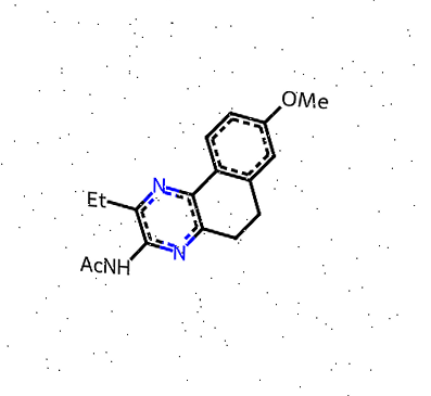 CCc1nc2c(nc1NC(C)=O)CCc1cc(OC)ccc1-2